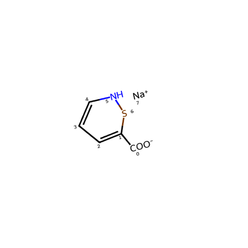 O=C([O-])C1=CC=CNS1.[Na+]